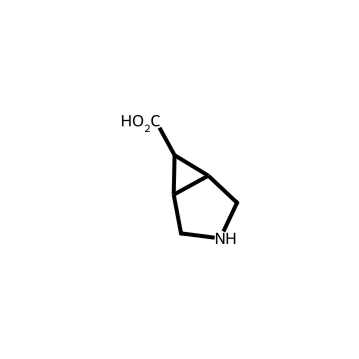 O=C(O)C1C2CNCC21